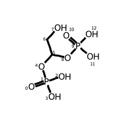 O=P(O)(O)OC(CO)OP(=O)(O)O